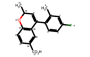 Cc1cc(F)ccc1C1=CC(C)Oc2ccc(C(=O)O)cc21